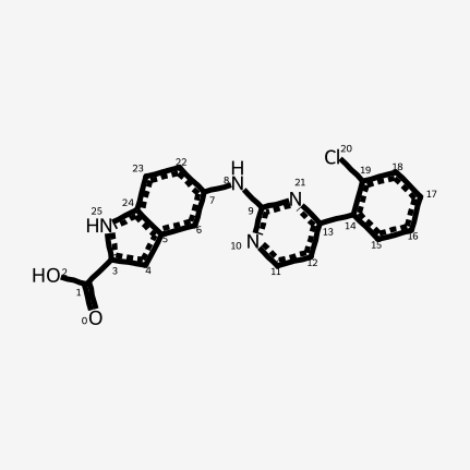 O=C(O)c1cc2cc(Nc3nccc(-c4ccccc4Cl)n3)ccc2[nH]1